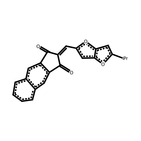 CC(C)c1cc2oc(C=C3C(=O)c4cc5ccccc5cc4C3=O)cc2o1